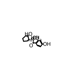 CN(C(=O)c1ccc(O)cc1O)[C@@H]1CCCC[C@H]1O